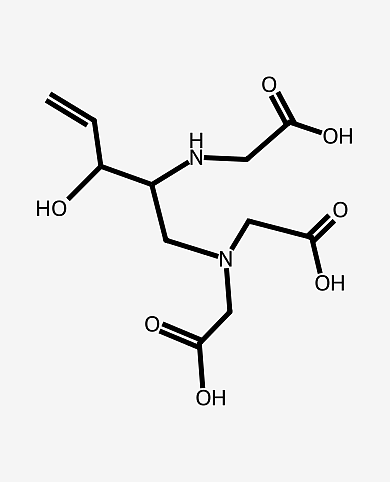 C=CC(O)C(CN(CC(=O)O)CC(=O)O)NCC(=O)O